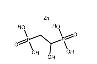 O=P(O)(O)CC(O)P(=O)(O)O.[Zn]